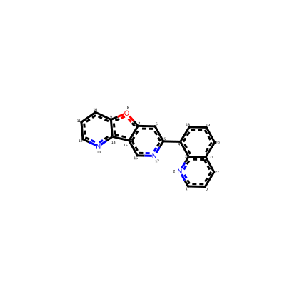 c1cnc2c(-c3cc4oc5cccnc5c4cn3)cccc2c1